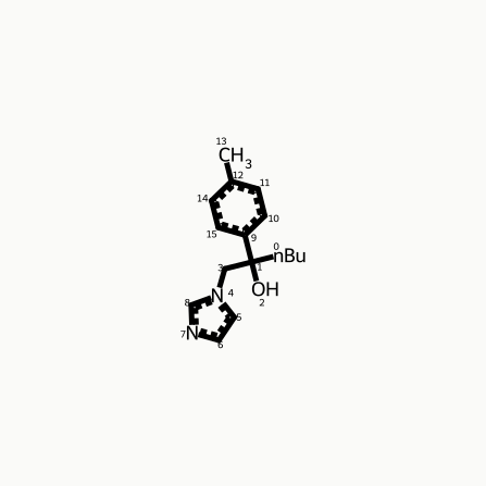 CCCCC(O)(Cn1ccnc1)c1ccc(C)cc1